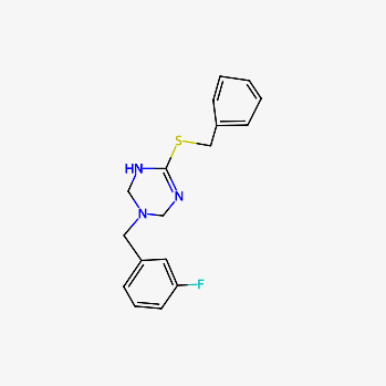 Fc1cccc(CN2CN=C(SCc3ccccc3)NC2)c1